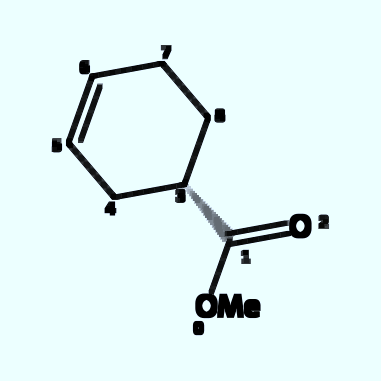 COC(=O)[C@@H]1CC=CCC1